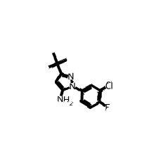 CC(C)(C)c1cc(N)n(-c2ccc(F)c(Cl)c2)n1